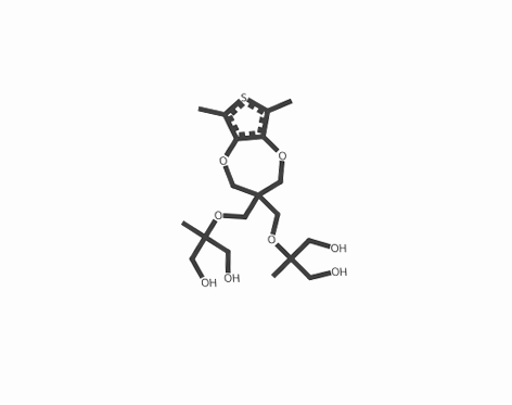 Cc1sc(C)c2c1OCC(COC(C)(CO)CO)(COC(C)(CO)CO)CO2